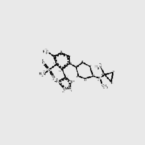 CN(C1CCC(c2ccc(C(F)(F)F)c(S(N)(=O)=O)c2-c2nnn[nH]2)CC1)C1(N)CC1